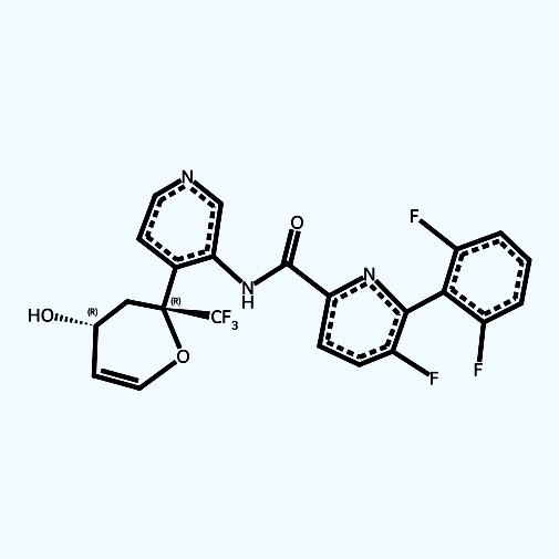 O=C(Nc1cnccc1[C@@]1(C(F)(F)F)C[C@@H](O)C=CO1)c1ccc(F)c(-c2c(F)cccc2F)n1